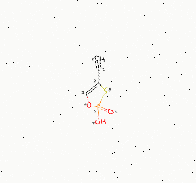 C#CC1=COP(=O)(O)S1